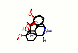 COc1ccc2c3c1O[C@H]1[C@@]4(OC)CCC5(C[C@@H]4C(C)=O)[C@@H](C2)N(C)CC[C@]315